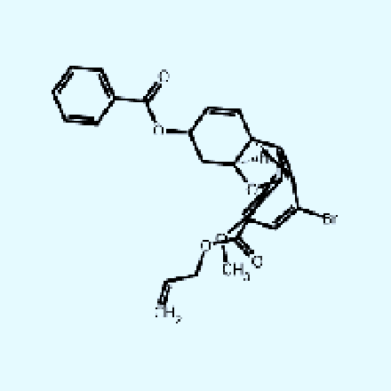 C=CCOC(=O)N1CC[C@@]23C=C[C@H](OC(=O)c4ccccc4)C[C@@H]2Oc2c(OC)cc(Br)c(c23)C1